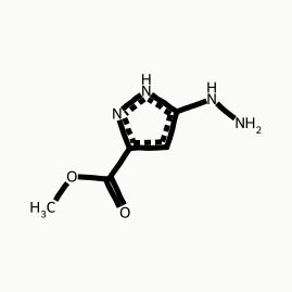 COC(=O)c1cc(NN)[nH]n1